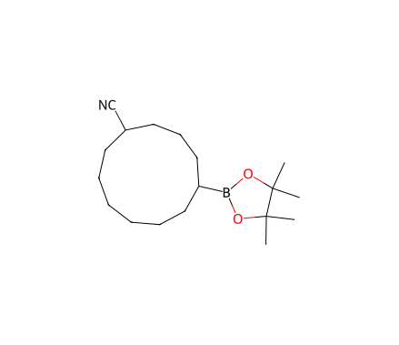 CC1(C)OB(C2CCCCCCC(C#N)CCC2)OC1(C)C